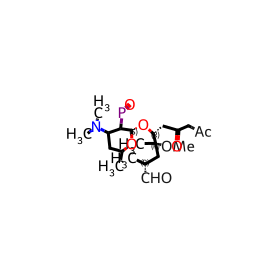 CO[C@](C)(C[C@@H](C)C=O)[C@@H](CC(=O)CC(C)=O)O[C@@H]1OC(C)CC(N(C)C)C1P=O